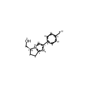 OC[C@@H]1CCc2nc(-c3ccc(F)cc3)cn21